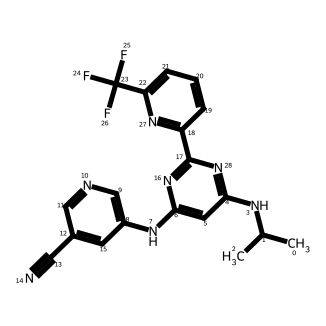 CC(C)Nc1cc(Nc2cncc(C#N)c2)nc(-c2cccc(C(F)(F)F)n2)n1